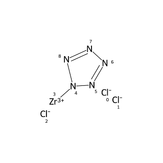 [Cl-].[Cl-].[Cl-].[Zr+3][n]1nnnn1